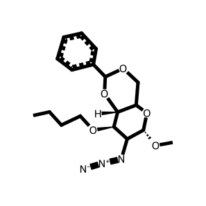 CCCCO[C@@H]1C(N=[N+]=[N-])[C@@H](OC)OC2COC(c3ccccc3)O[C@H]21